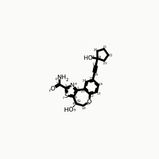 NC(=O)c1nc2c(s1)[C@@H](O)COc1ccc(C#CC3(O)CCCC3)cc1-2